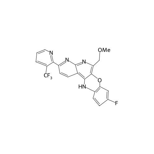 COCc1nc2nc(-c3ncccc3C(F)(F)F)ccc2c2c1Oc1cc(F)ccc1N2